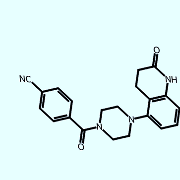 N#Cc1ccc(C(=O)N2CCN(c3cccc4c3CCC(=O)N4)CC2)cc1